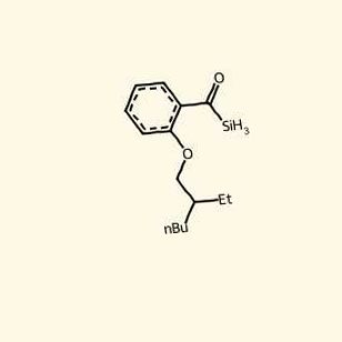 CCCCC(CC)COc1ccccc1C(=O)[SiH3]